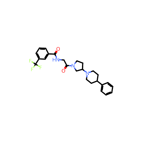 O=C(NCC(=O)N1CCC(N2CCC(c3ccccc3)CC2)C1)c1cccc(C(F)(F)F)c1